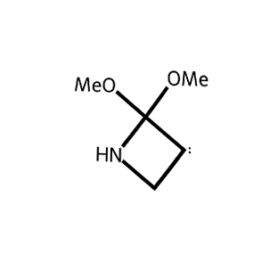 COC1(OC)[C]CN1